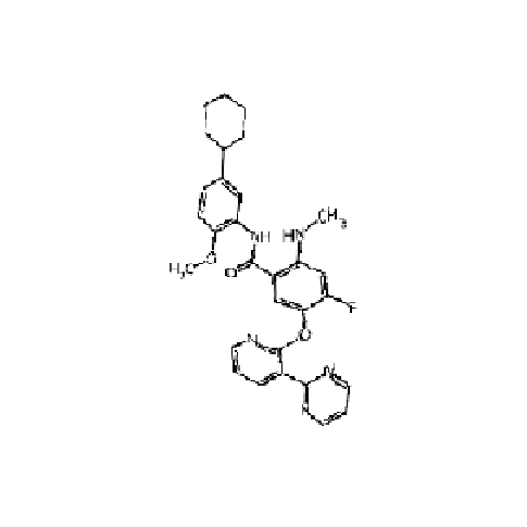 CNc1cc(F)c(Oc2ncccc2-c2ncccn2)cc1C(=O)Nc1cc(C2CCCCC2)ccc1OC